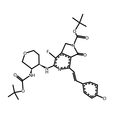 CC(C)(C)OC(=O)N[C@H]1COCC[C@H]1Nc1nc(C=Cc2ccc(Cl)cc2)c2c(c1F)CN(C(=O)OC(C)(C)C)C2=O